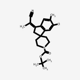 CC(C#N)=C1CC2(CCN(C(=O)OC(C)(C)C)CC2)c2cc(Cl)c(C)cc21